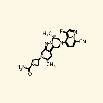 C[C@@H]1CN(c2ccc(C#N)n3ncc(F)c23)Cc2c3c(nn21)CN(C1CN(C(N)=O)C1)[C@@H](C)C3